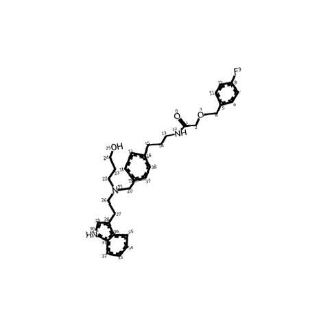 O=C(COCc1ccc(F)cc1)NCCCc1ccc(CN(CCCO)CCc2c[nH]c3ccccc23)cc1